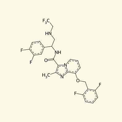 Cc1nc2c(OCc3c(F)cccc3F)cccn2c1C(=O)NC(CNCC(F)(F)F)c1ccc(F)c(F)c1